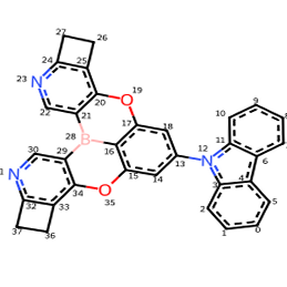 c1ccc2c(c1)c1ccccc1n2-c1cc2c3c(c1)Oc1c(cnc4c1CC4)B3c1cnc3c(c1O2)CC3